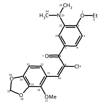 CCOc1ccc(C(=O)/C(Cl)=C\c2ccc3c(c2OC)OCO3)cc1N(C)C